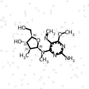 C=Nc1c(OC)nc(N)nc1N(C)[C@@H]1O[C@H](CO)[C@@H](O)[C@@H]1C